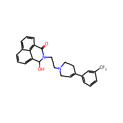 O=C1c2cccc3cccc(c23)C(O)N1CCN1CC=C(c2cccc(C(F)(F)F)c2)CC1